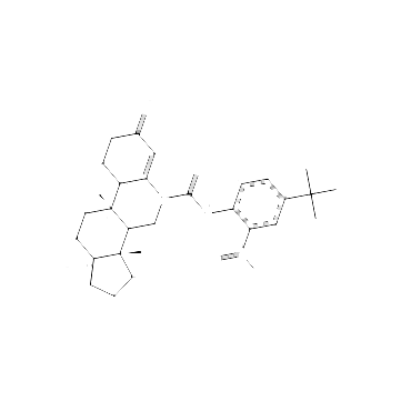 CC(C)(C)c1ccc(NC(=O)N2C[C@H]3[C@@H]4CCC[C@@]4(C)CC[C@@H]3[C@@]3(C)CCC(=O)C=C23)c([N+](=O)[O-])c1